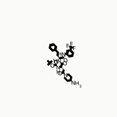 CC(C)(C)OC(=O)N[C@@H](CC(=O)N1CCC(N)CC1)C(=O)N[C@@H](CCc1ccccc1)C(=O)Nc1cccc(C(F)(F)F)c1